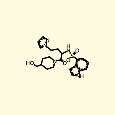 O=C(C(CCn1cccn1)NS(=O)(=O)c1cccc2[nH]ccc12)N1CCC(CO)CC1